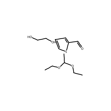 CCOC(C)OCC.O=Cc1cccs1.OCCO